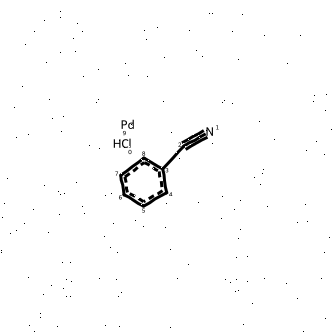 Cl.N#Cc1ccccc1.[Pd]